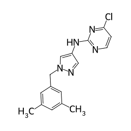 Cc1cc(C)cc(Cn2cc(Nc3nccc(Cl)n3)cn2)c1